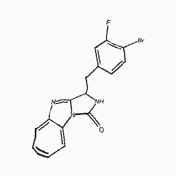 O=C1NC(Cc2ccc(Br)c(F)c2)c2nc3ccccc3n21